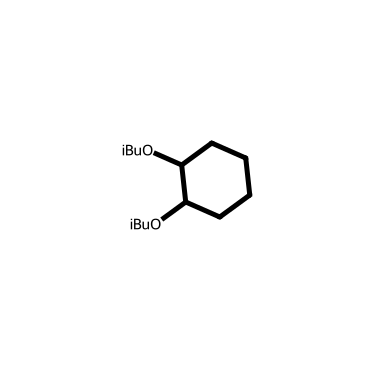 CC(C)COC1CCCCC1OCC(C)C